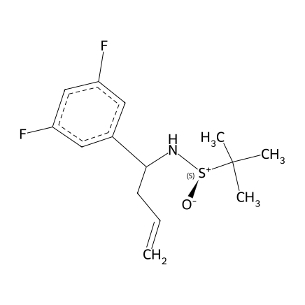 C=CCC(N[S@+]([O-])C(C)(C)C)c1cc(F)cc(F)c1